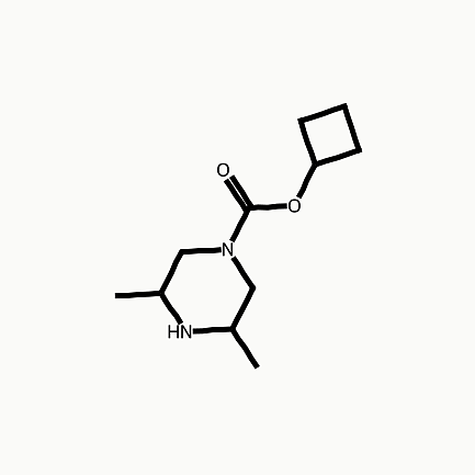 CC1CN(C(=O)OC2CCC2)CC(C)N1